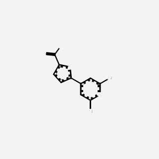 CC(=O)c1ccc(-c2cc(N)nc(N)c2)s1